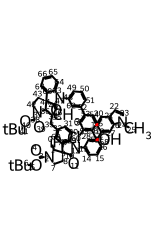 CC(C)C1N(C(=O)OC(C)(C)C)CC[C@@]12C(=O)N(c1cccc(-c3ccc4ccn(C)c4c3)c1)c1ccc(CC(C)C3N(C(=O)OC(C)(C)C)CC[C@@]34C(=O)N(c3cccc(-c5ccc(CO)c(Cl)c5)c3)c3ccccc34)cc12